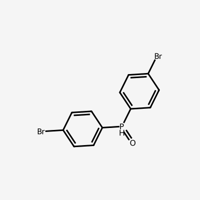 O=[PH](c1ccc(Br)cc1)c1ccc(Br)cc1